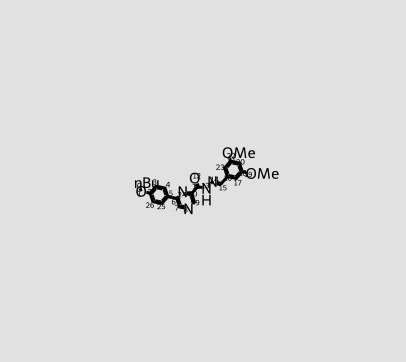 CCCCOc1ccc(-c2cncc(C(=O)N/N=C/c3cc(OC)cc(OC)c3)n2)cc1